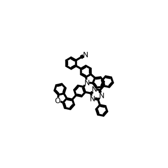 N#Cc1ccccc1-c1ccc2c3ccccc3n(-c3ccc(-c4cccc5oc6ccccc6c45)cc3-c3nc(-c4ccccc4)nc(-c4ccccc4)n3)c2c1